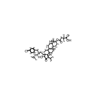 CC(C)C1=C2[C@H]3CC[C@@H]4C5CC[C@H](OC(=O)CC(C)(C)C(=O)O)C(C)(C)[C@@H]5CCC4[C@]3(C)CC[C@@]2([C@H](O)CN(CCN(C)C)Cc2ccc(Cl)cc2)CC1=O